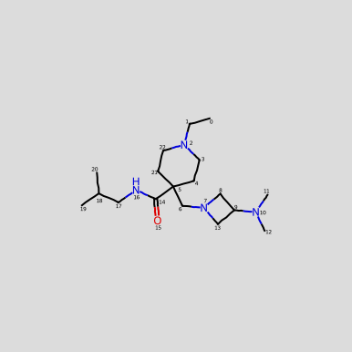 CCN1CCC(CN2CC(N(C)C)C2)(C(=O)NCC(C)C)CC1